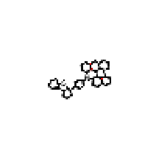 c1ccc(-c2cccc3cccc(-c4ccccc4N(c4ccccc4)c4ccc(-c5cccc6c5sc5ccccc56)cc4)c23)cc1